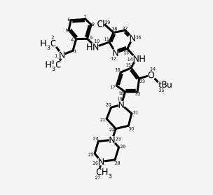 CN(C)Cc1ccccc1Nc1nc(Nc2ccc(N3CCC(N4CCN(C)CC4)CC3)cc2OC(C)(C)C)ncc1Cl